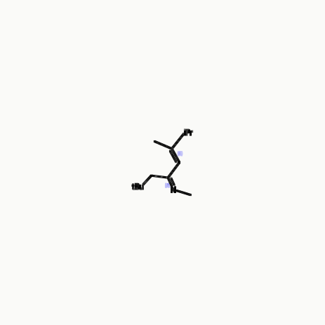 C/N=C(\C=C(/C)C(C)C)CC(C)(C)C